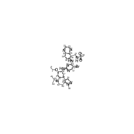 CCOc1cc2c(cc1Nc1ncc(Br)c(Nc3ccc4nccnc4c3CNS(C)(=O)=O)n1)-c1cnn(C)c1CCN2C(C)C